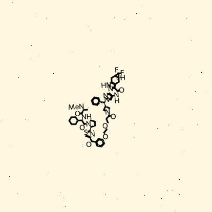 CN[C@@H](C)C(=O)N[C@H](C(=O)N1CCC[C@H]1c1nc(C(=O)c2cccc(OCCOCCC(=O)N3CC([C@@H](c4ccccc4)n4cc(NC(=O)c5n[nH]c6c5C[C@@H]5C(F)(F)[C@]5(C)C6)cn4)C3)c2)cs1)C1CCCCC1